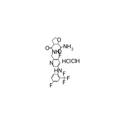 Cl.Cl.NC(=O)C1OCCC1C(=O)NCc1ncc(Nc2ccc(F)cc2C(F)(F)F)cc1F